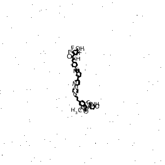 Cn1c(=O)n([C@@H]2CCC(=O)NC2=O)c2ccc(CCCN3CCN(c4ccc(-c5ccc6cn(C7CCC(CNC(=O)c8cc(F)c(O)c(F)c8F)CC7)nc6c5)cn4)CC3)cc21